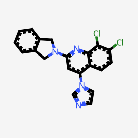 Clc1ccc2c(-n3ccnc3)cc(N3Cc4ccccc4C3)nc2c1Cl